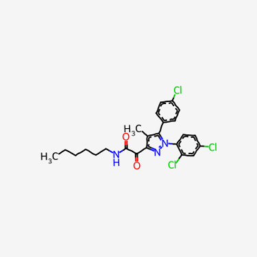 CCCCCCNC(=O)C(=O)c1nn(-c2ccc(Cl)cc2Cl)c(-c2ccc(Cl)cc2)c1C